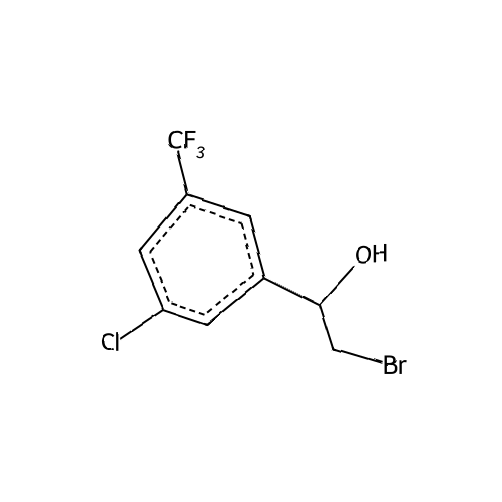 OC(CBr)c1cc(Cl)cc(C(F)(F)F)c1